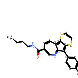 CCCCNC(=O)c1ccc2c3c(c(-c4ccc(Cl)cc4)c-2nc1)SC=CS3